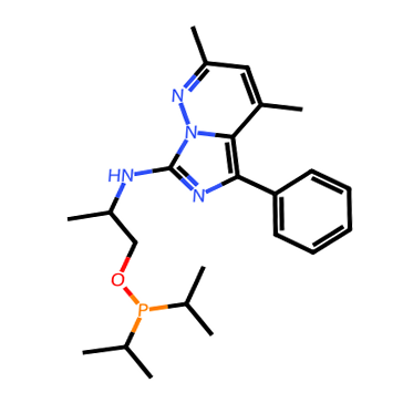 Cc1cc(C)c2c(-c3ccccc3)nc(NC(C)COP(C(C)C)C(C)C)n2n1